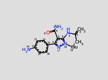 C=C(C)Nc1c(C(N)=O)c(-c2ccc(N)cc2)nn1C(C)(C)C